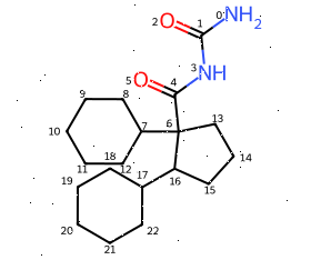 NC(=O)NC(=O)C1(C2CCCCC2)CCCC1C1CCCCC1